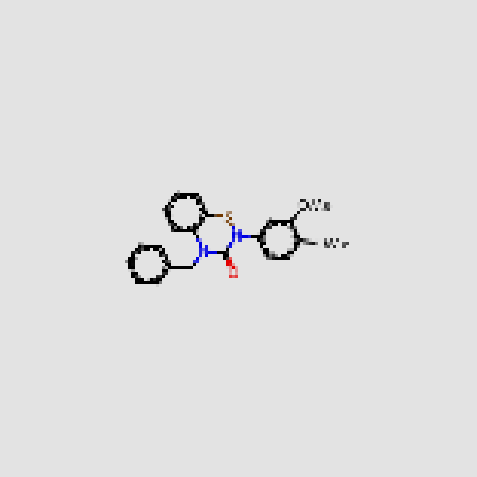 COc1ccc(N2Sc3ccccc3N(Cc3ccccc3)C2=O)cc1OC